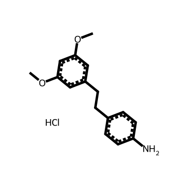 COc1cc(CCc2ccc(N)cc2)cc(OC)c1.Cl